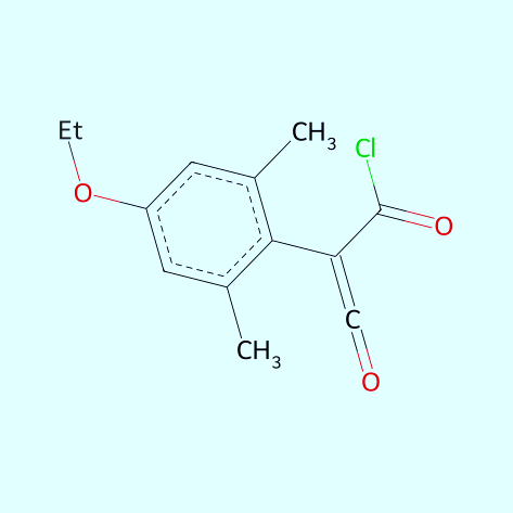 CCOc1cc(C)c(C(=C=O)C(=O)Cl)c(C)c1